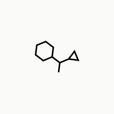 C[C](C1CCCCC1)C1CC1